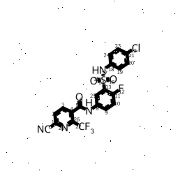 N#Cc1ccc(C(=O)Nc2ccc(F)c(S(=O)(=O)Nc3ccc(Cl)cc3)c2)c(C(F)(F)F)n1